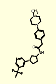 CN1CCN(c2ccc(CC(=O)NC3CCN(c4cncc(C(F)(F)F)c4)C3)cc2)CC1